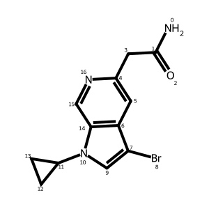 NC(=O)Cc1cc2c(Br)cn(C3CC3)c2cn1